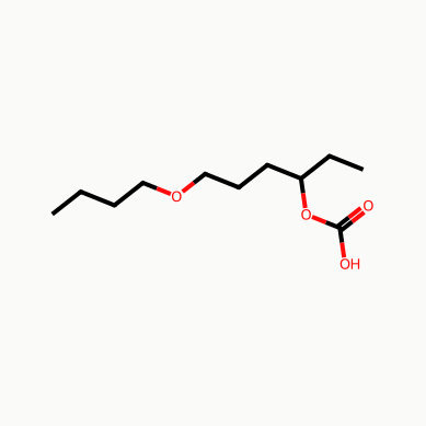 CCCCOCCCC(CC)OC(=O)O